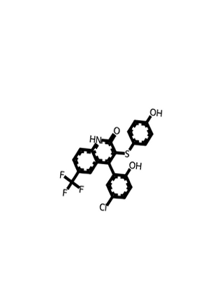 O=c1[nH]c2ccc(C(F)(F)F)cc2c(-c2cc(Cl)ccc2O)c1Sc1ccc(O)cc1